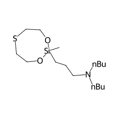 CCCCN(CCCC)CCC[Si]1(C)OCCSCCO1